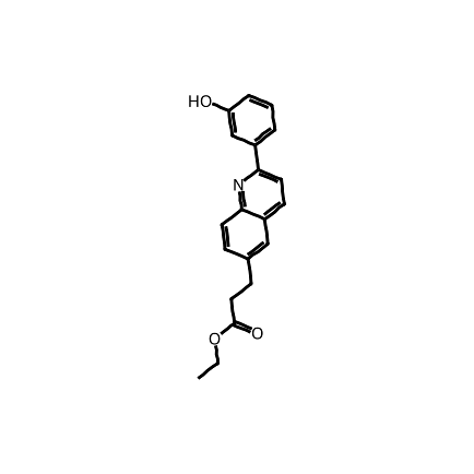 CCOC(=O)CCc1ccc2nc(-c3cccc(O)c3)ccc2c1